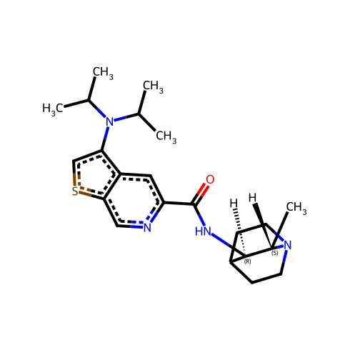 CC(C)N(c1csc2cnc(C(=O)N[C@@H]3C4CCN(CC4)[C@H]3C)cc12)C(C)C